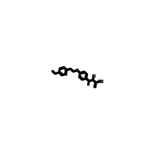 CCc1ccc(CCOc2ccc(C(C)C(Cl)C(=O)O)cc2)nc1